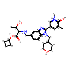 Cc1cc(-c2nc3cc(CNC(C(=O)OC4CCC4)C(C)O)ccc3n2CC2CCOCC2)cn(C)c1=O